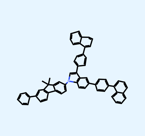 CC1(C)c2cc(-c3ccccc3)ccc2-c2ccc(-n3cc(-c4ccc(-c5cccc6ccccc56)cc4)c4cc(-c5ccc(-c6cccc7ccccc67)cc5)ccc43)cc21